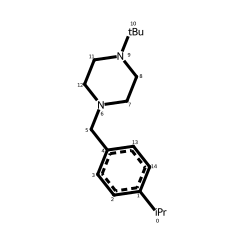 CC(C)c1ccc(CN2CCN(C(C)(C)C)CC2)cc1